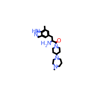 Cc1cc(CC(N)C(=O)N2CCC(N3CCCN(C)CC3)CC2)cc2cn[nH]c12